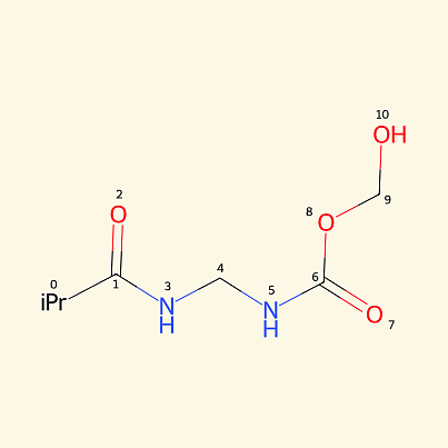 CC(C)C(=O)NCNC(=O)OCO